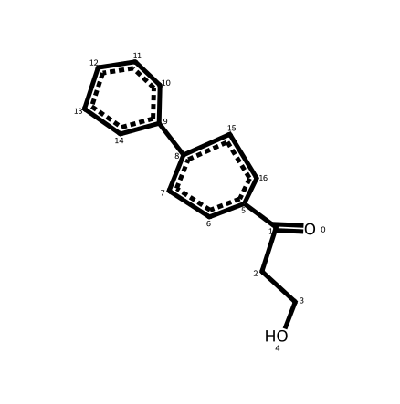 O=C(CCO)c1ccc(-c2ccccc2)cc1